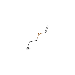 C=CSCCCCC